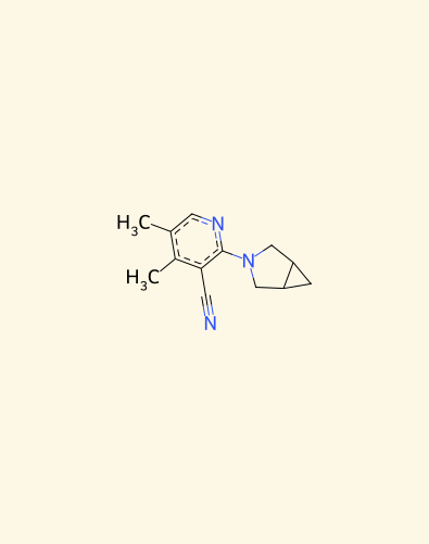 Cc1cnc(N2CC3CC3C2)c(C#N)c1C